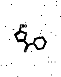 O=Cc1ccc(C(=O)N2CCCCC2)s1